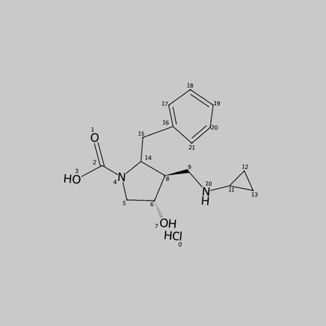 Cl.O=C(O)N1C[C@@H](O)[C@H](CNC2CC2)C1Cc1ccccc1